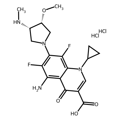 CN[C@H]1CN(c2c(F)c(N)c3c(=O)c(C(=O)O)cn(C4CC4)c3c2F)C[C@H]1OC.Cl.Cl